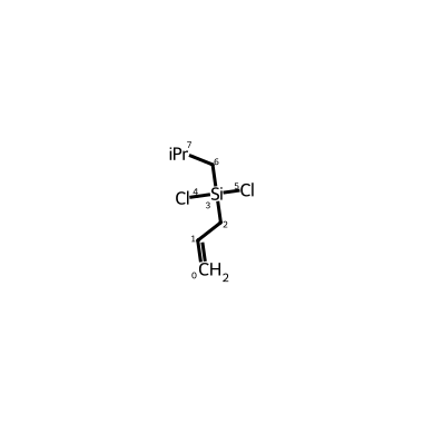 C=CC[Si](Cl)(Cl)CC(C)C